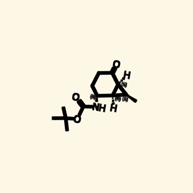 C[C@@H]1[C@@H]2C(=O)CC[C@@H](NC(=O)OC(C)(C)C)[C@H]12